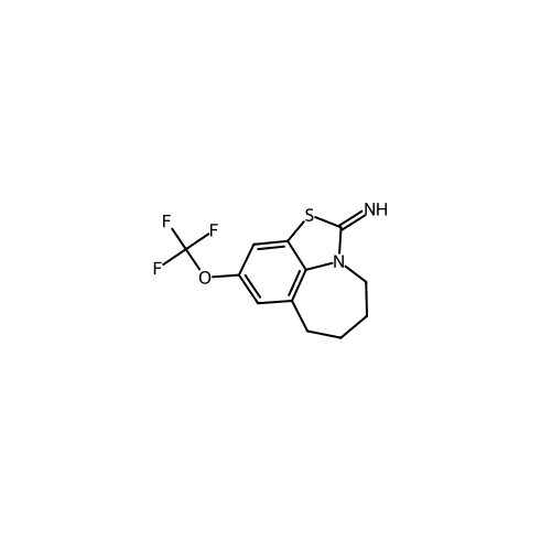 N=c1sc2cc(OC(F)(F)F)cc3c2n1CCCC3